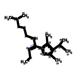 CC/N=C(/NCCCN(C)C)n1nc(C)c(C(C)C)c1C